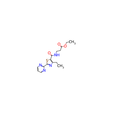 CCOC(=O)CCNC(=O)c1sc(-c2ncccn2)nc1CC